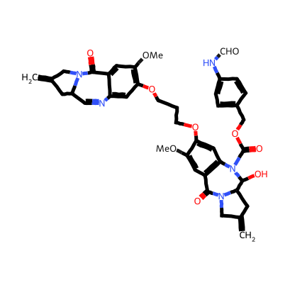 C=C1CC2C=Nc3cc(OCCCOc4cc5c(cc4OC)C(=O)N4CC(=C)CC4C(O)N5C(=O)OCc4ccc(NC=O)cc4)c(OC)cc3C(=O)N2C1